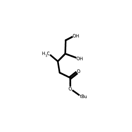 CC(CC(=O)OC(C)(C)C)C(O)CO